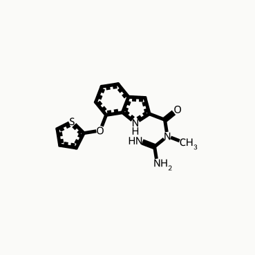 CN(C(=N)N)C(=O)c1cc2cccc(Oc3cccs3)c2[nH]1